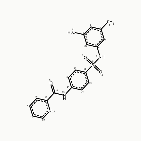 Cc1cc(C)cc(NS(=O)(=O)c2ccc(NC(=O)c3ccccn3)cc2)c1